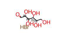 Br.O=C[C@H](O)[C@H](O)[C@@H](O)[C@@H](O)CO